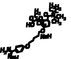 CC(C)N(C(=O)c1ccc(OCCCCCOc2ccc(/C(N)=N\O)cc2)cc1OC(C)(C)C(=O)O)C(C)C.[NaH]